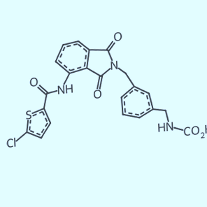 O=C(O)NCc1cccc(CN2C(=O)c3cccc(NC(=O)c4ccc(Cl)s4)c3C2=O)c1